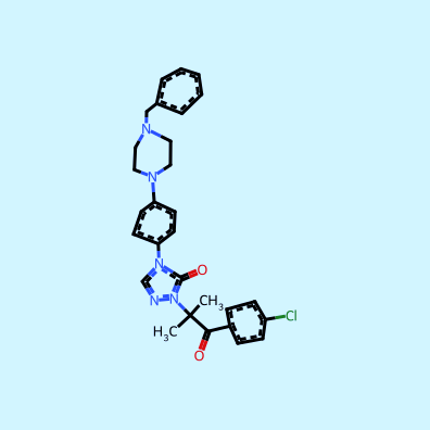 CC(C)(C(=O)c1ccc(Cl)cc1)n1ncn(-c2ccc(N3CCN(Cc4ccccc4)CC3)cc2)c1=O